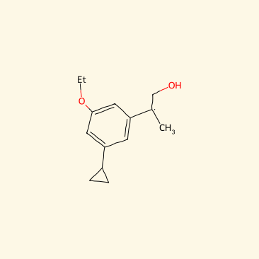 CCOc1cc([C](C)CO)cc(C2CC2)c1